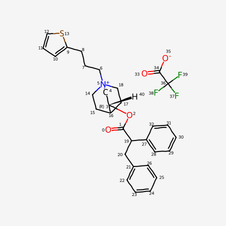 O=C(O[C@H]1C[N+]2(CCCc3cccs3)CCC1CC2)C(Cc1ccccc1)c1ccccc1.O=C([O-])C(F)(F)F